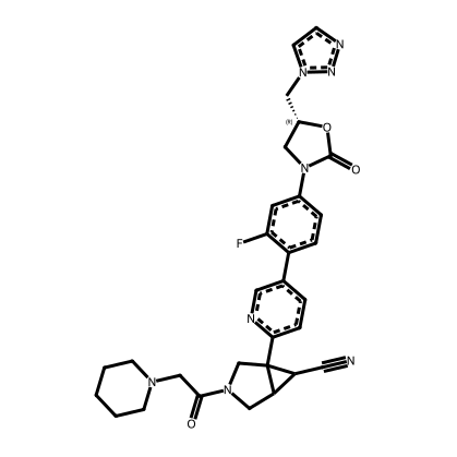 N#CC1C2CN(C(=O)CN3CCCCC3)CC12c1ccc(-c2ccc(N3C[C@H](Cn4ccnn4)OC3=O)cc2F)cn1